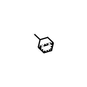 [CH2]C1[CH]c2ccc1cc2